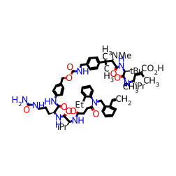 C=Cc1ccccc1CN(C(=O)CCC(=O)N[C@H](C(=O)N[C@@H](CCCNC(N)=O)C(=O)Nc1ccc(COC(=O)NCc2ccc(C(C)(C)[C@@H](NC)C(=O)N[C@H](C(=O)N(C)[C@H](/C=C(\C)C(=O)O)C(C)C)C(C)(C)C)cc2)cc1)C(C)C)c1ccccc1CC